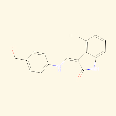 Cc1cccc2c1C(=CNc1ccc(CO)cc1)C(=O)N2